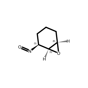 O=N[C@H]1CCC[C@H]2O[C@@H]12